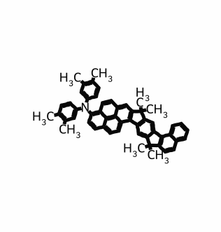 Cc1ccc(N(c2ccc(C)c(C)c2)c2ccc3ccc4c5c(cc6ccc2c3c64)C(C)(C)c2cc3c(cc2-5)C(C)(C)c2ccc4ccccc4c2-3)cc1C